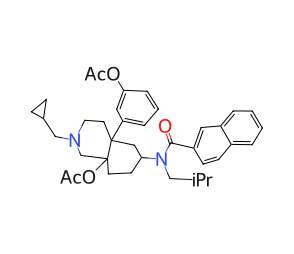 CC(=O)Oc1cccc(C23CCN(CC4CC4)CC2(OC(C)=O)CCC(N(CC(C)C)C(=O)c2ccc4ccccc4c2)C3)c1